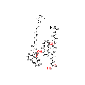 CCCCCCCCCCCCCCCCC(C(=O)O)c1cccc2cc3ccccc3cc12.CCCCCCCCCCCCCCCCCC(=O)O.Oc1cccc2cc3ccccc3cc12